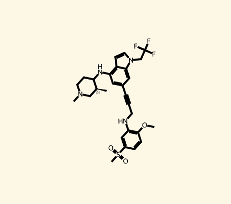 COc1ccc(S(C)(=O)=O)cc1NCC#Cc1cc(NC2CCN(C)C[C@@H]2C)c2ccn(CC(F)(F)F)c2c1